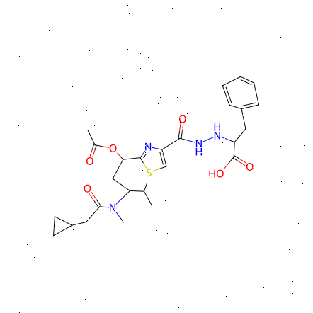 CC(=O)OC(CC(C(C)C)N(C)C(=O)CC1CC1)c1nc(C(=O)NNC(Cc2ccccc2)C(=O)O)cs1